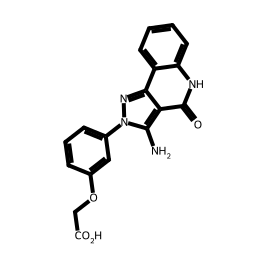 Nc1c2c(=O)[nH]c3ccccc3c2nn1-c1cccc(OCC(=O)O)c1